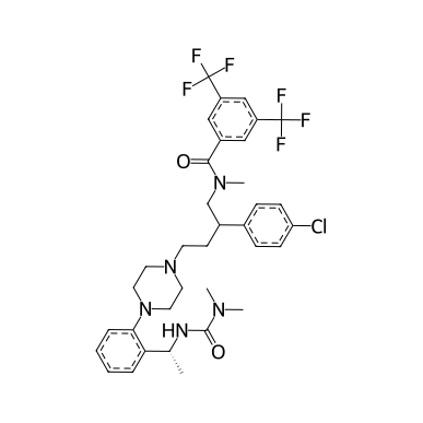 C[C@@H](NC(=O)N(C)C)c1ccccc1N1CCN(CCC(CN(C)C(=O)c2cc(C(F)(F)F)cc(C(F)(F)F)c2)c2ccc(Cl)cc2)CC1